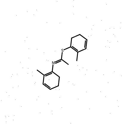 CC1=C(/N=C(\C)SC2=C(C)C=CCC2)CCC=C1